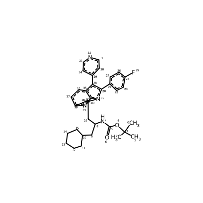 CC(C)(C)OC(=O)NC(CC1CCCCC1)CN1On2c(-c3ccc(F)cc3)c(-c3ccncc3)c3ccc1nc32